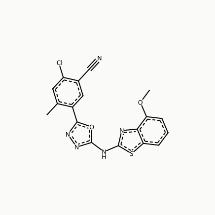 COc1cccc2sc(Nc3nnc(-c4cc(C#N)c(Cl)cc4C)o3)nc12